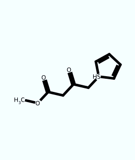 COC(=O)CC(=O)C[SH]1C=CC=C1